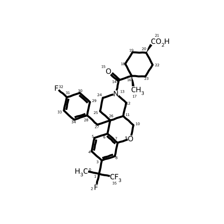 CC(F)(c1ccc2c(c1)OCC1CN(C(=O)[C@]3(C)CC[C@@H](C(=O)O)CC3)CCC21Cc1ccc(F)cc1)C(F)(F)F